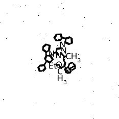 CCOC(C)/C(=C\C=C(/C)c1nc(-n2c3ccccc3c3ccccc32)cc(-n2c3ccccc3c3cc(-c4ccccc4)ccc32)n1)N1C2CCC3CC1CC3C2